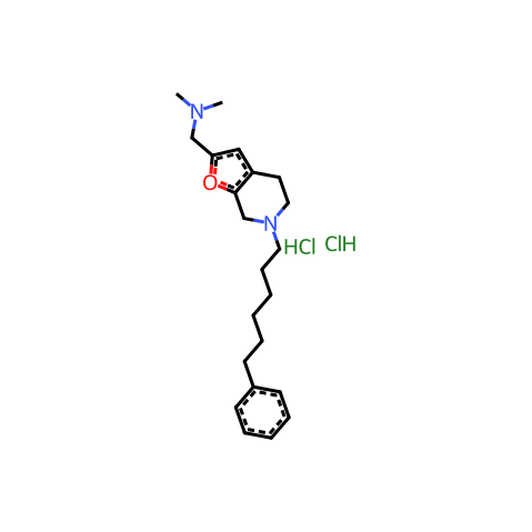 CN(C)Cc1cc2c(o1)CN(CCCCCCc1ccccc1)CC2.Cl.Cl